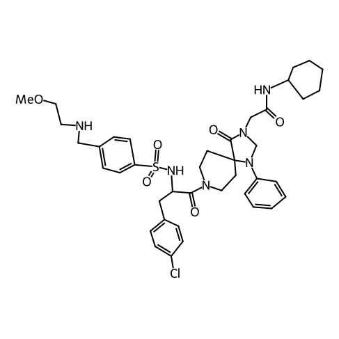 COCCNCc1ccc(S(=O)(=O)NC(Cc2ccc(Cl)cc2)C(=O)N2CCC3(CC2)C(=O)N(CC(=O)NC2CCCCC2)CN3c2ccccc2)cc1